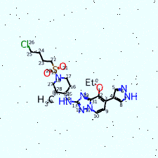 CCOc1c(-c2cn[nH]c2)ccn2nc(N[C@H]3CCN(S(=O)(=O)CCCCCl)C[C@H]3C)nc12